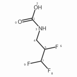 O=C(O)NCC(F)C(F)F